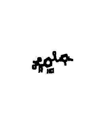 CC1N(C)C=CN1CC(=O)c1ccc(NS(C)(=O)=O)cc1.Cl